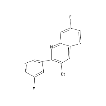 CCc1cc2ccc(F)cc2nc1-c1cccc(F)c1